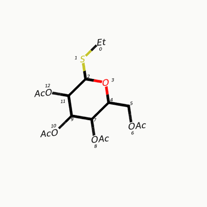 CCSC1OC(COC(C)=O)C(OC(C)=O)C(OC(C)=O)C1OC(C)=O